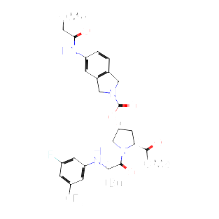 COCC(=O)Nc1ccc2c(c1)CN(C(=O)O[C@@H]1C[C@@H](C(=O)OC)N(C(=O)[C@@H](Nc3cc(F)cc(C(F)(F)F)c3)C(C)(C)C)C1)C2